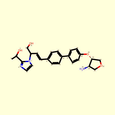 CC(O)c1nccn1C(/C=C/c1ccc(-c2ccc(O[C@@H]3COC[C@H]3N)cc2)cc1)CO